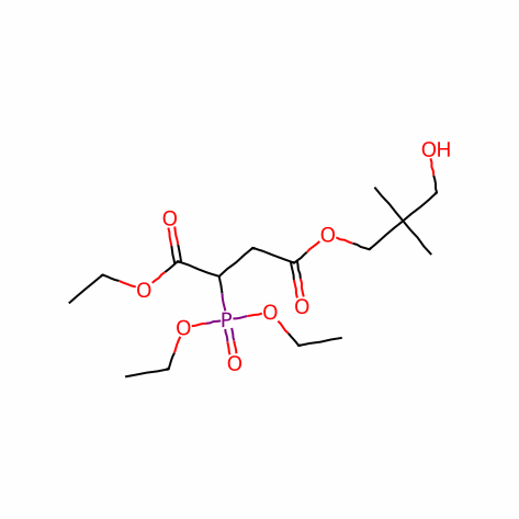 CCOC(=O)C(CC(=O)OCC(C)(C)CO)P(=O)(OCC)OCC